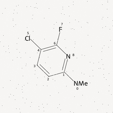 CNc1ccc(Cl)c(F)n1